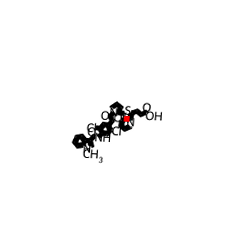 Cn1cc(C(=O)Nc2cc(Cl)c(CC(=O)N3CCC[C@]3(Oc3cccnc3)c3ncc(CCC(=O)O)s3)cc2Cl)c2ccccc21